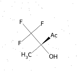 CC(=O)[C@](C)(O)C(F)(F)F